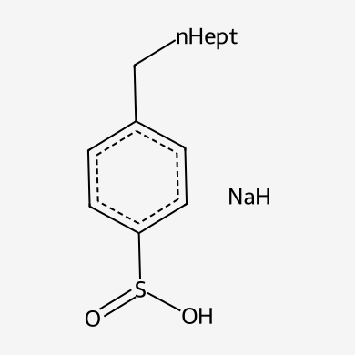 CCCCCCCCc1ccc(S(=O)O)cc1.[NaH]